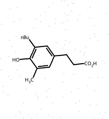 CCCCc1cc(CCC(=O)O)cc(C)c1O